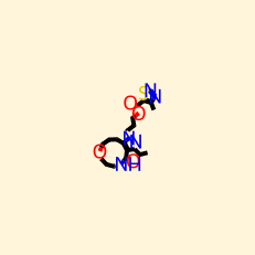 CCc1nn(CCCOC(=O)c2snnc2C)c2c1C(=O)NCCCOCCC2